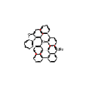 CC(C)(C)c1ccc(-c2ccccc2)c(N(c2ccccc2-c2cccc3cccc(-c4ccccc4)c23)c2cccc3sc4ccccc4c23)c1